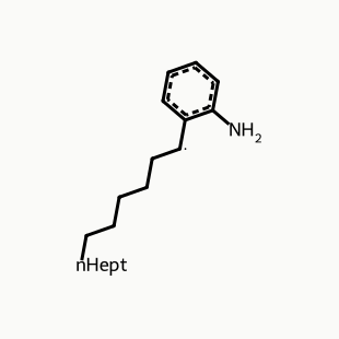 CCCCCCCCCCCC[CH]c1ccccc1N